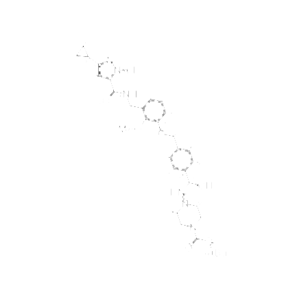 COc1c(CNC(=O)c2cc(C3CC3)nn2C)cccc1OCc1ccc(C(O)NN2CCN(C(=O)OC(C)(C)C)CC2)cc1